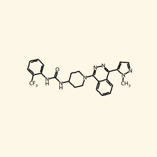 Cn1nccc1-c1nnc(N2CCC(NC(=O)Nc3ccccc3C(F)(F)F)CC2)c2ccccc12